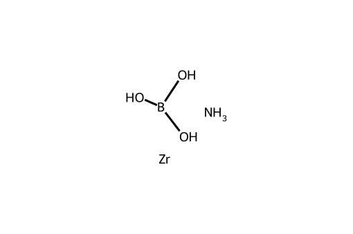 N.OB(O)O.[Zr]